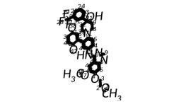 COCCOc1cc2ncnc(Nc3ccc(N4CCC(O)(c5cccc(C(F)(F)F)c5)CC4)c(C4=CC(=O)C=CC4=O)c3)c2cc1OC